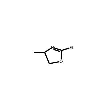 CCC1=NC(C)CO1